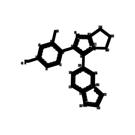 Cc1cc(F)ccc1-c1nc2n(c1-c1ccc3nccn3c1)CCC2